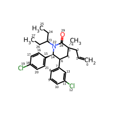 C=CC[C@@]1(C)CC(c2cccc(Cl)c2)[C@@H](c2ccc(Cl)cc2)N(C(CC)CC)C1=O